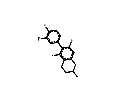 CC1CCc2c(cc(F)c(-c3ccc(F)c(F)c3)c2F)C1